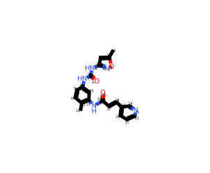 Cc1cc(NC(=O)Nc2ccc(C)c(NC(=O)/C=C/c3cccnc3)c2)no1